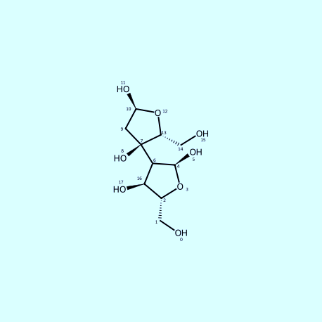 OC[C@H]1O[C@H](O)C([C@]2(O)C[C@@H](O)O[C@@H]2CO)[C@@H]1O